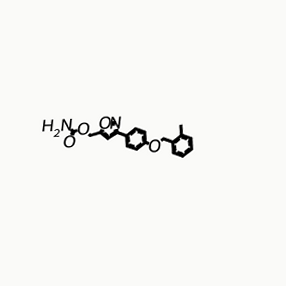 Cc1ccccc1COc1ccc(-c2cc(COC(N)=O)on2)cc1